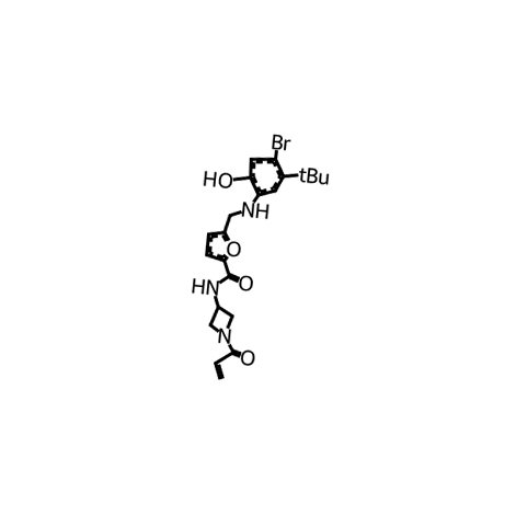 C=CC(=O)N1CC(NC(=O)c2ccc(CNc3cc(C(C)(C)C)c(Br)cc3O)o2)C1